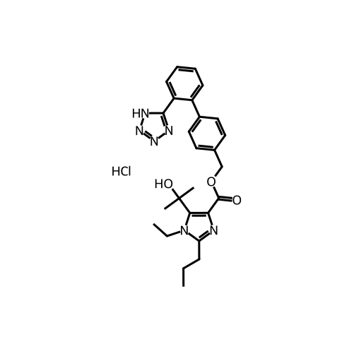 CCCc1nc(C(=O)OCc2ccc(-c3ccccc3-c3nnn[nH]3)cc2)c(C(C)(C)O)n1CC.Cl